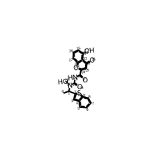 CC(c1cc2ccccc2s1)N(O)C(=O)NC(=O)c1cc(=O)c2c(O)cccc2o1